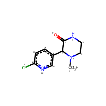 O=C1NCCN(C(=O)O)C1c1ccc(Cl)nc1